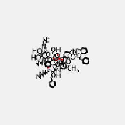 C[C@H]1C[C@@H](NC(=O)[C@@H](OCc2ccccc2)[C@H](F)CN=[N+]=[N-])[C@H](O)[C@@H](O[C@@H]2O[C@H](CO)[C@@H](O[C@H]3O[C@@H](CN=[N+]=[N-])[C@@H](O)[C@H](O)[C@H]3N=[N+]=[N-])[C@H]2O)[C@@H]1O[C@H]1O[C@H](CN(Cc2ccccc2)C(=O)OCc2ccccc2)CC[C@H]1NC(=O)OCc1ccccc1